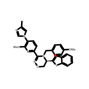 COc1ccc(CN2C(c3ccc(-n4cnc(C)c4)c(OC)n3)=NOC[C@@H]2c2cc3ccccc3s2)cc1